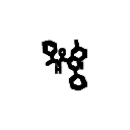 Cc1ccc2nc(-c3ccccc3)cc(C(=O)NC(C)c3ccccc3)c2c1